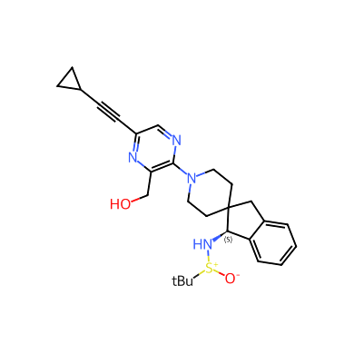 CC(C)(C)[S+]([O-])N[C@@H]1c2ccccc2CC12CCN(c1ncc(C#CC3CC3)nc1CO)CC2